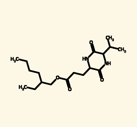 CCCCC(CC)COC(=O)CCC1NC(=O)C(C(C)C)NC1=O